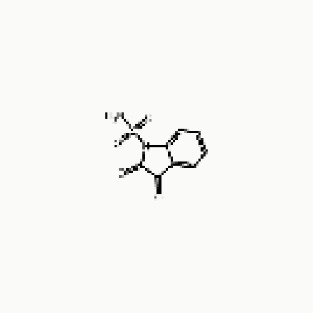 NS(=O)(=O)N1C(=O)C(=O)c2ccccc21